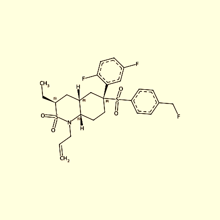 C=CCN1[C@H]2CC[C@@](c3cc(F)ccc3F)(S(=O)(=O)c3ccc(CF)cc3)C[C@H]2C[C@H](CC)S1(=O)=O